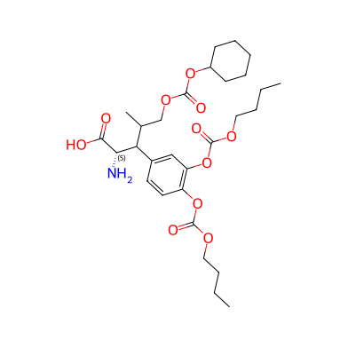 CCCCOC(=O)Oc1ccc(C(C(C)COC(=O)OC2CCCCC2)[C@H](N)C(=O)O)cc1OC(=O)OCCCC